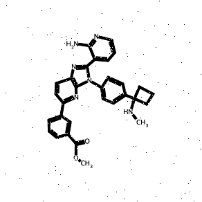 CNC1(c2ccc(-n3c(-c4cccnc4N)nc4ccc(-c5cccc(C(=O)OC)c5)nc43)cc2)CCC1